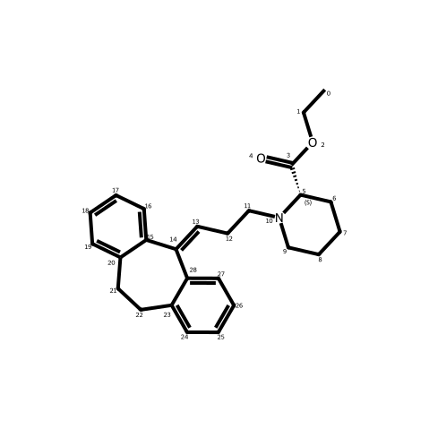 CCOC(=O)[C@@H]1CCCCN1CCC=C1c2ccccc2CCc2ccccc21